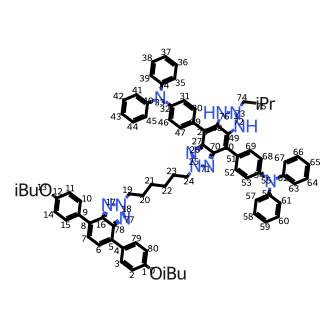 CC(C)COc1ccc(-c2ccc(-c3ccc(OCC(C)C)cc3)c3nn(CCCCCCn4nc5c(-c6ccc(N(c7ccccc7)c7ccccc7)cc6)c6c(c(-c7ccc(N(c8ccccc8)c8ccccc8)cc7)c5n4)NN(CC(C)C)N6)nc23)cc1